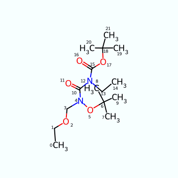 CCOCN(OC(C)(C)C)C(=O)N(CC)C(=O)OC(C)(C)C